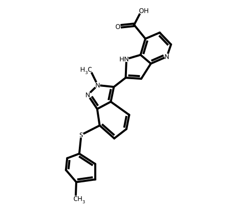 Cc1ccc(Sc2cccc3c(-c4cc5nccc(C(=O)O)c5[nH]4)n(C)nc23)cc1